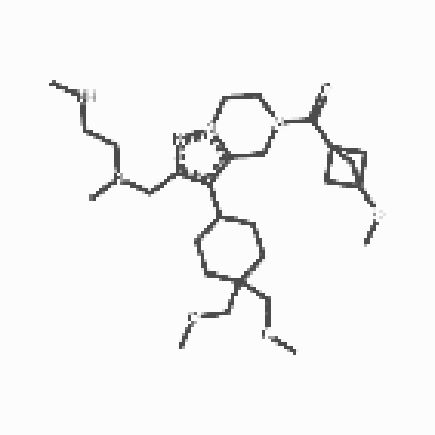 CNCCN(C)Cc1nn2c(c1C1CCC(COC)(COC)CC1)CN(C(=O)C13CC(OC)(C1)C3)CC2